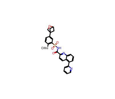 COc1ccc(C23COC(C2)C3)cc1S(=O)(=O)NC(=O)c1ccc2c(-c3ccccn3)cccc2n1